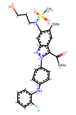 CNC(=O)c1c2cc(OC)c(N(CCCO)S(C)(=O)=O)cc2nn1-c1ccc(Nc2ccccc2F)cc1